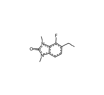 CCc1ccc2c(c1F)n(C)c(=O)n2C